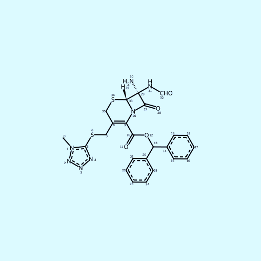 Cn1nnnc1SCC1=C(C(=O)OC(c2ccccc2)c2ccccc2)N2C(=O)[C@](N)(NC=O)[C@H]2SC1